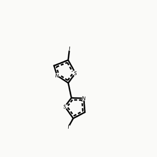 Ic1cnc(-c2ncc(I)s2)s1